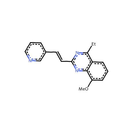 CCc1nc(/C=C/c2cccnc2)nc2c(OC)cccc12